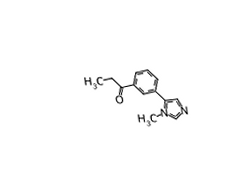 CCC(=O)c1cccc(-c2cncn2C)c1